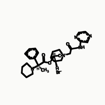 C[C@@](C(=O)O[C@H]1C[N+]2(CC(=O)Nc3cnccn3)CCC1CC2)(c1ccccc1)N1CCCCC1.[Br-]